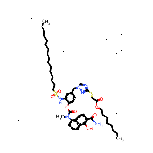 CCCCCCCCCCCCCCCCS(=O)(=O)Nc1cc(Cn2cnc(SCC(=O)OCCCCCCCC)n2)ccc1OC(=O)N(C)c1cccc2c(O)c(C(N)=O)ccc12